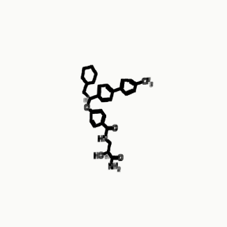 NC(=O)[C@@H](O)CNC(=O)c1ccc(O[C@@H](CC2CCCCC2)c2ccc(-c3ccc(C(F)(F)F)cc3)cc2)cc1